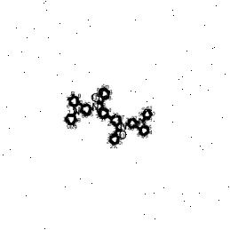 c1ccc(-n2c3ccccc3c3cc(-n4c5ccc(-c6ccc7c(c6)c6c8ccccc8oc6n7-c6ccc7c(c6)c6ccccc6n7-c6ccccc6)cc5c5c6ccccc6oc54)ccc32)cc1